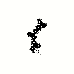 O=[N+]([O-])c1cccc(-n2c3ccccc3c3cc(-c4ccc5c(c4)c4ccccc4n5-c4ccc(-c5ccc(N(c6ccccc6)c6ccccc6)cc5)cc4)ccc32)c1